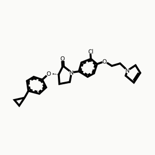 O=C1[C@@H](Oc2ccc(C3CC3)cc2)CCN1c1ccc(OCCN2CC=CC2)c(Cl)c1